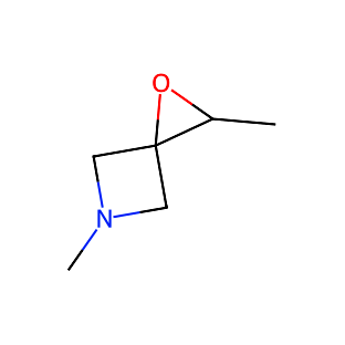 CC1OC12CN(C)C2